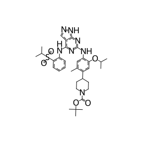 Cc1cc(Nc2nc(Nc3ccccc3S(=O)(=O)C(C)C)c3cn[nH]c3n2)c(OC(C)C)cc1C1CCN(C(=O)OC(C)(C)C)CC1